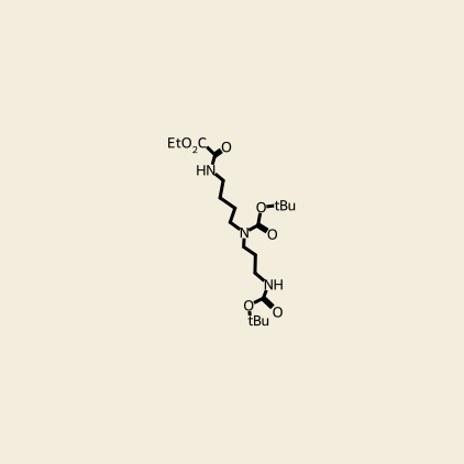 CCOC(=O)C(=O)NCCCCN(CCCNC(=O)OC(C)(C)C)C(=O)OC(C)(C)C